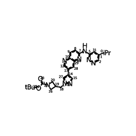 CC(C)c1cnnc(Nc2ccc3ncc(-c4cnn(CC5CN(C(=O)OC(C)(C)C)C5)c4)cc3n2)c1